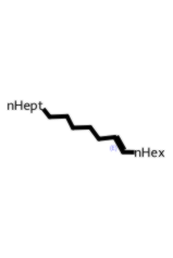 CCCCCC/C=C/CCCCCCCCCCCC